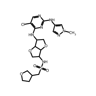 Cn1cc(Nc2ncc(Cl)c(NC3COC4C(NS(=O)(=O)CC5CCOC5)COC34)n2)cn1